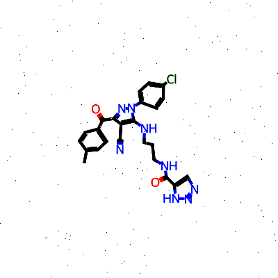 Cc1ccc(C(=O)c2nn(-c3ccc(Cl)cc3)c(NCCCNC(=O)c3cnn[nH]3)c2C#N)cc1